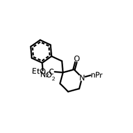 CCCN1CCCC(Cc2ccccc2[N+](=O)[O-])(C(=O)OCC)C1=O